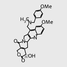 COc1ccc(CN(C)Cc2c3c(nc4ccc(OC)cc24)C2CC4=C(COC(=O)[C@H]4O)C(=O)N2C3)cc1